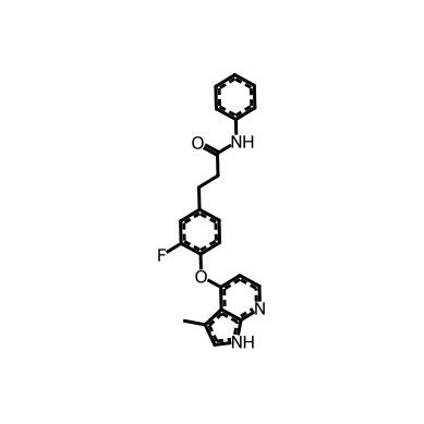 Cc1c[nH]c2nccc(Oc3ccc(CCC(=O)Nc4ccccc4)cc3F)c12